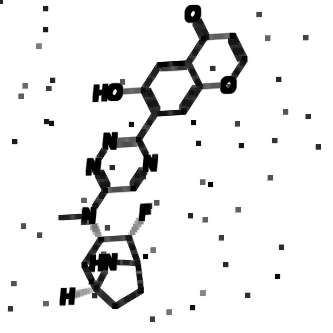 CN(c1cnc(-c2cc3occc(=O)c3cc2O)nn1)[C@H]1C[C@@H]2CCC(N2)[C@H]1F